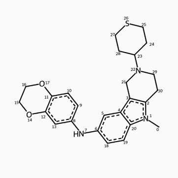 Cn1c2c(c3cc(Nc4ccc5c(c4)OCCO5)ccc31)CN(C1CCSCC1)CC2